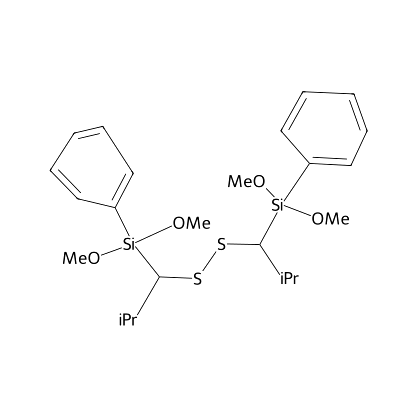 CO[Si](OC)(c1ccccc1)C(SSC(C(C)C)[Si](OC)(OC)c1ccccc1)C(C)C